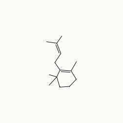 CC(C)=CCC1=C(C)CCCC1(C)C